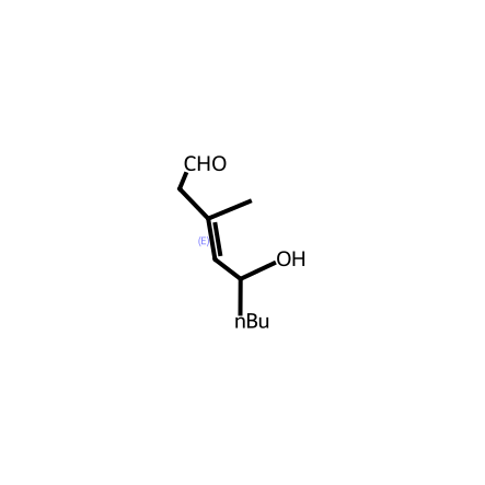 CCCCC(O)/C=C(\C)CC=O